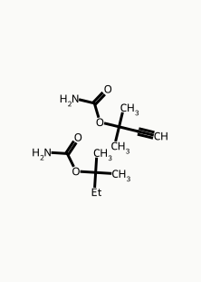 C#CC(C)(C)OC(N)=O.CCC(C)(C)OC(N)=O